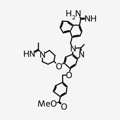 COC(=O)c1ccc(COc2cc3nc(C)n(Cc4ccc(C(=N)N)c5ccccc45)c3cc2OC2CCN(C(C)=N)CC2)cc1